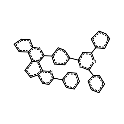 c1ccc(-c2cc(-c3ccc(-c4nc5ccccc5c5ccc6ccc(-c7ccccc7)nc6c45)cc3)nc(-c3ccccc3)n2)cc1